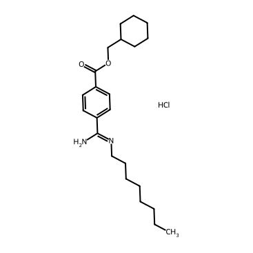 CCCCCCCCN=C(N)c1ccc(C(=O)OCC2CCCCC2)cc1.Cl